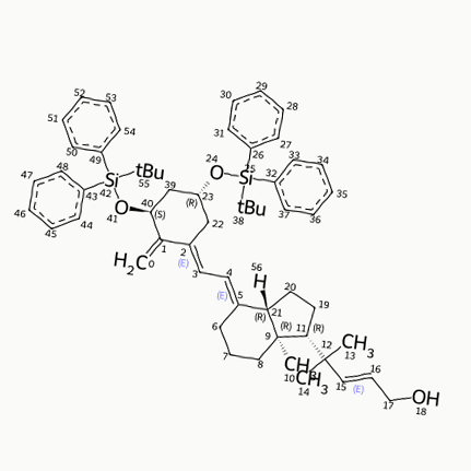 C=C1/C(=C/C=C2\CCC[C@]3(C)[C@@H](C(C)(C)/C=C/CO)CC[C@@H]23)C[C@@H](O[Si](c2ccccc2)(c2ccccc2)C(C)(C)C)C[C@@H]1O[Si](c1ccccc1)(c1ccccc1)C(C)(C)C